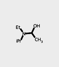 [CH2]CN(C(C)C)C(C)O